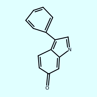 O=C1C=CC2=C(c3ccccc3)C=NC2=C1